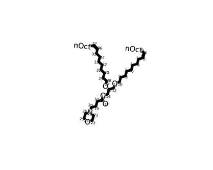 CCCCCCCC/C=C\CCCCCCCCOCC(COC(=O)CCCN1CCOCC1)OCCCCCCCC/C=C\CCCCCCCC